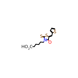 O=C(O)CCCCCN1C(=O)/C(=C/c2cccs2)SC1=S